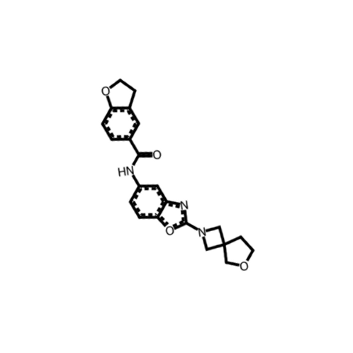 O=C(Nc1ccc2oc(N3CC4(CCOC4)C3)nc2c1)c1ccc2c(c1)CCO2